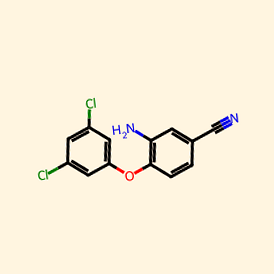 N#Cc1ccc(Oc2cc(Cl)cc(Cl)c2)c(N)c1